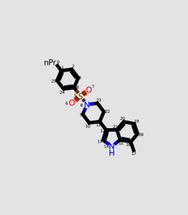 CCCc1ccc(S(=O)(=O)N2CCC(c3c[nH]c4c(C)cccc34)CC2)cc1